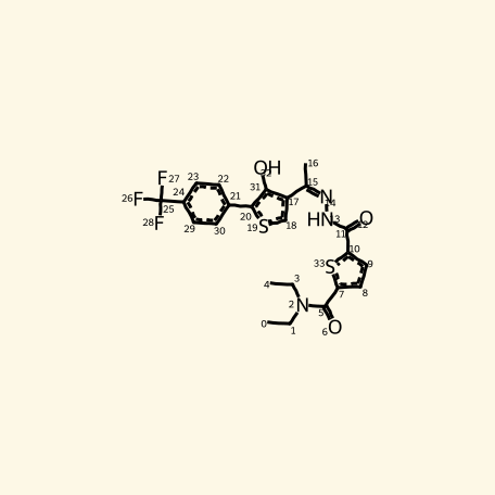 CCN(CC)C(=O)c1ccc(C(=O)N/N=C(/C)c2csc(-c3ccc(C(F)(F)F)cc3)c2O)s1